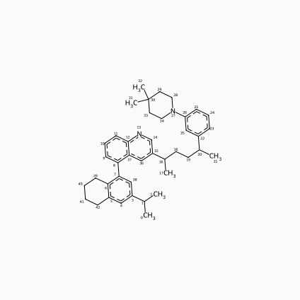 CC(C)c1cc2c(c(-c3cccc4ncc(C(C)CCC(C)c5cccc(N6CCC(C)(C)CC6)c5)cc34)c1)CCCC2